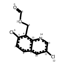 O=COCc1c(Cl)ccc2cc(Cl)cnc12